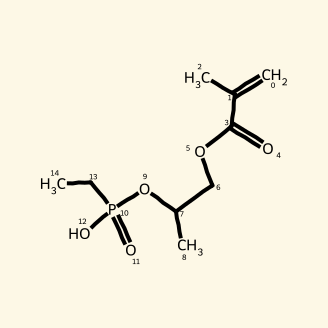 C=C(C)C(=O)OCC(C)OP(=O)(O)CC